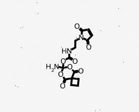 NC1(OC(=O)NCCN2C(=O)C=CC2=O)OC(=O)C2(CCC2)C(=O)O1